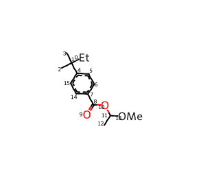 CCC(C)(C)c1ccc(C(=O)OC(C)OC)cc1